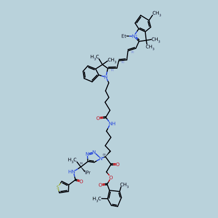 CC[N+]1=C(/C=C/C=C/C=C2/N(CCCCCC(=O)NCCCC[C@@H](C(=O)COC(=O)c3c(C)cccc3C)n3cc([C@@](C)(NC(=O)c4ccsc4)C(C)C)nn3)c3ccccc3C2(C)C)C(C)(C)c2cc(C)ccc21